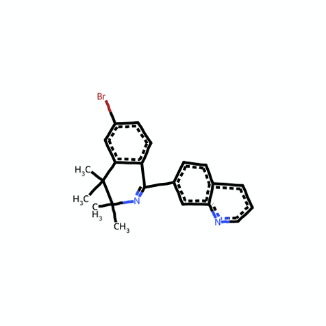 CC1(C)N=C(c2ccc3cccnc3c2)c2ccc(Br)cc2C1(C)C